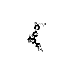 CCC1(C(=O)O)CCN(c2ccc(-c3cc(-c4cnn(C)c4)cn4ncc(C#N)c34)cn2)CC1